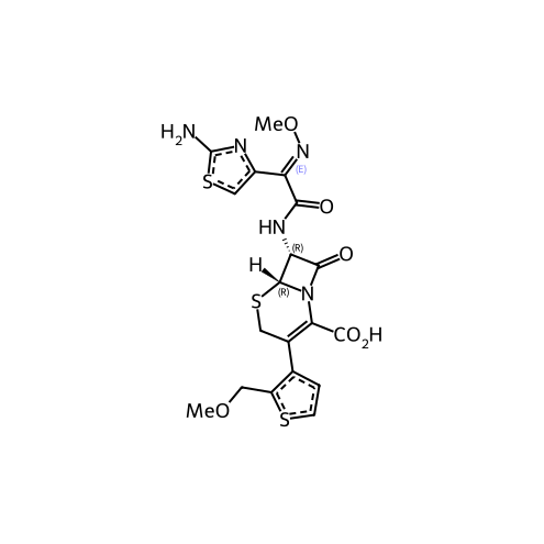 COCc1sccc1C1=C(C(=O)O)N2C(=O)[C@@H](NC(=O)/C(=N/OC)c3csc(N)n3)[C@H]2SC1